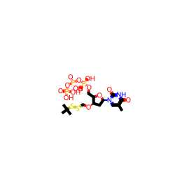 Cc1cn([C@H]2C[C@@H](OCSSC(C)(C)C)C(COP(=O)(O)OP(=O)(O)OP(=O)(O)O)O2)c(=O)[nH]c1=O